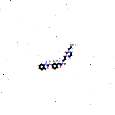 COc1c(CC(=O)N(C)CCCn2c(=O)ccn(CCC(=O)O)c2=O)cccc1NC(=O)Nc1ccccc1C